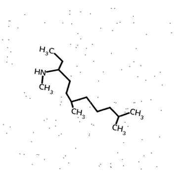 CCC(CCC(C)CCCC(C)C)NC